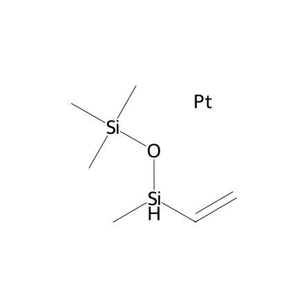 C=C[SiH](C)O[Si](C)(C)C.[Pt]